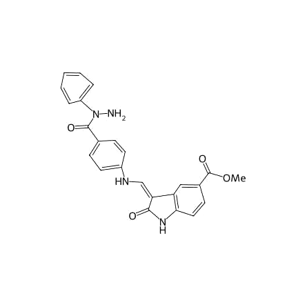 COC(=O)c1ccc2c(c1)C(=CNc1ccc(C(=O)N(N)c3ccccc3)cc1)C(=O)N2